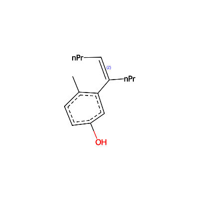 CCC/C=C(/CCC)c1cc(O)ccc1C